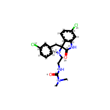 CC(C)N(CCNC(=O)N(C)C)C1(Cc2cccc(Cl)c2)C(=O)Nc2cc(Cl)ccc21